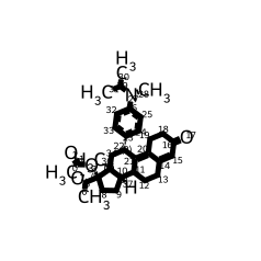 CC(=O)O[C@]1(C(C)=O)CC[C@H]2C3CCC4=CC(=O)CCC4=C3[C@@H](c3ccc(N(C)C(C)C)cc3)C[C@@]21C